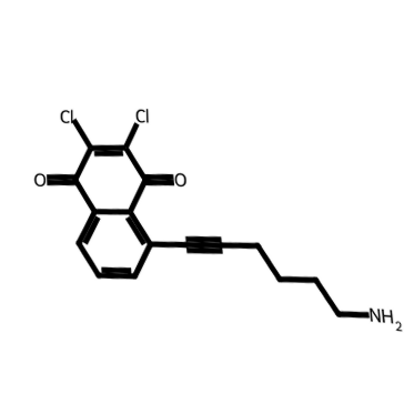 NCCCCC#Cc1cccc2c1C(=O)C(Cl)=C(Cl)C2=O